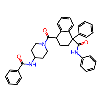 O=C(NC1CCN(C(=O)C2CCC(C(=O)Nc3ccccc3)(c3ccccc3)c3ccccc32)CC1)c1ccccc1